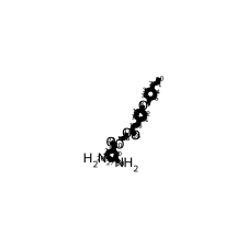 C=CCC1CCC(COc2ccc(/C=C/C(=O)OCCOC(=O)c3cc(N)cc(N)c3)cc2)CC1